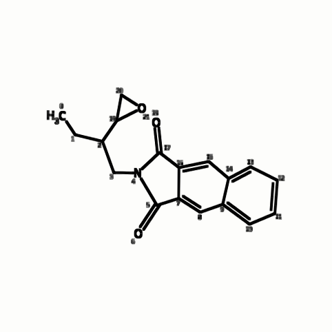 CCC(CN1C(=O)c2cc3ccccc3cc2C1=O)C1CO1